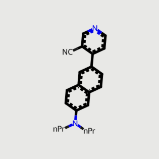 CCCN(CCC)c1ccc2cc(-c3ccncc3C#N)ccc2c1